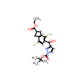 CCOC(=O)C1Cc2c(F)cc(C(O)c3ccn(C(=O)OC(C)(C)C)n3)c(F)c2C1